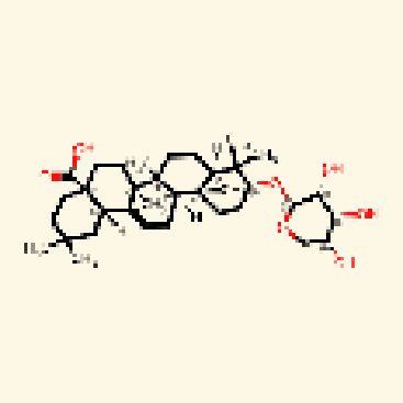 CC1(C)CC[C@]2(C(=O)O)CC[C@]3(C)C(=CC[C@@H]4[C@@]5(C)CC[C@H](O[C@@H]6OC[C@@H](O)[C@H](O)[C@H]6O)C(C)(C)[C@@H]5CC[C@]43C)[C@@H]2C1